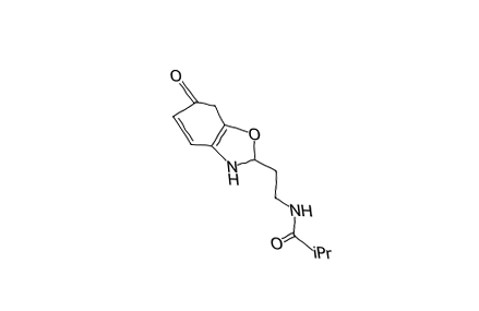 CC(C)C(=O)NCCC1NC2=C(CC(=O)C=C2)O1